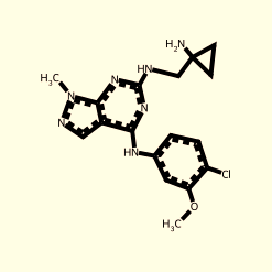 COc1cc(Nc2nc(NCC3(N)CC3)nc3c2cnn3C)ccc1Cl